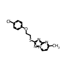 Cc1ccn2nc(SCCOc3ccc(Cl)cc3)nc2n1